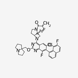 C=C(F)C(=O)N1CCC2[C@H]1CN2c1nc(OCC23CCCN2CCC3)nc2c(F)c(-c3cccc4ccc(F)c(Cl)c34)c(Cl)cc12